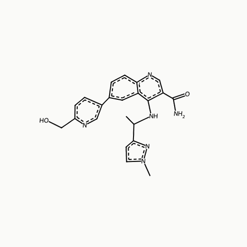 CC(Nc1c(C(N)=O)cnc2ccc(-c3ccc(CO)nc3)cc12)c1ccn(C)n1